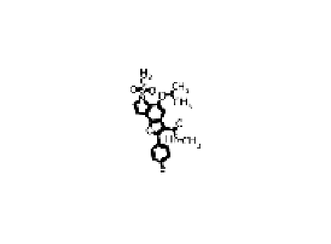 CNC(=O)c1c(-c2ccc(F)cc2)oc2c1cc(OC(C)C)c1c2ccn1S(C)(=O)=O